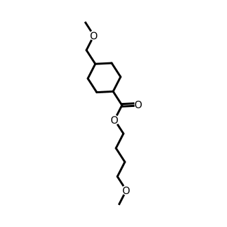 COCCCCOC(=O)C1CCC(COC)CC1